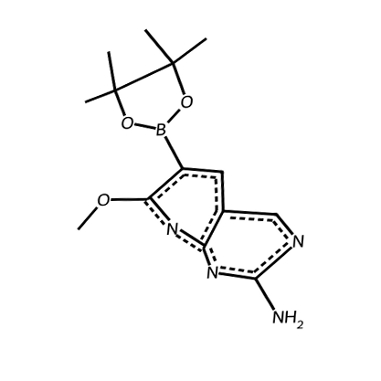 COc1nc2nc(N)ncc2cc1B1OC(C)(C)C(C)(C)O1